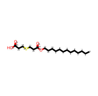 CCCCCCCCCCCCCOC(=O)CCSCCC(=O)O